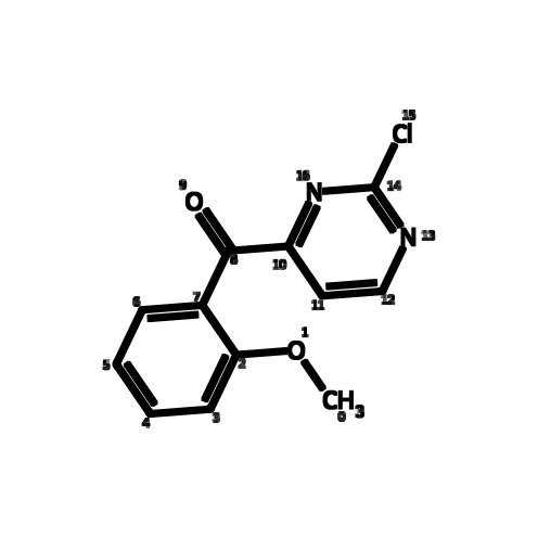 COc1ccccc1C(=O)c1ccnc(Cl)n1